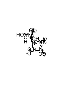 COC(=O)CN1CCN(CC(=O)OC)CCN(CC(O)CN(CC(O)CO)C[PH]23OC(O2)O3)CCN(CC(=O)OC)CC1